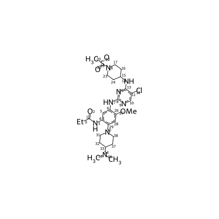 CCC(=O)Nc1cc(Nc2ncc(Cl)c(NC3CCN(S(C)(=O)=O)CC3)n2)c(OC)cc1N1CCC(N(C)C)CC1